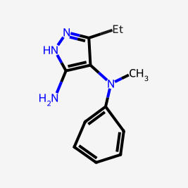 CCc1n[nH]c(N)c1N(C)c1ccccc1